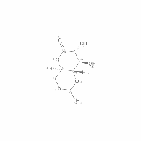 CC1OC[C@H]2OC(=O)[C@H](O)[C@@H](O)[C@@H]2O1